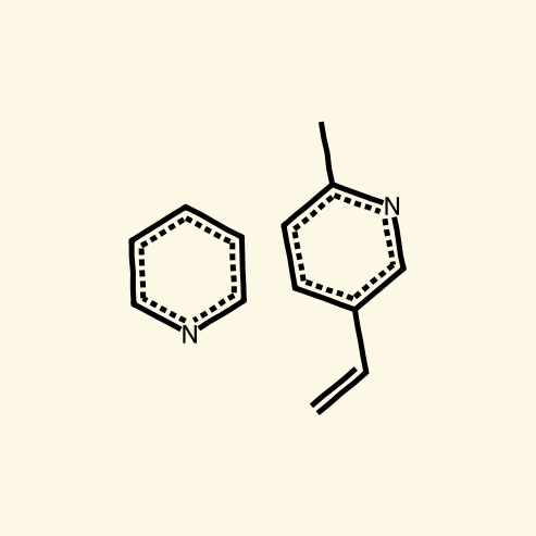 C=Cc1ccc(C)nc1.c1ccncc1